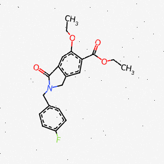 CCOC(=O)c1cc2c(cc1OCC)C(=O)N(Cc1ccc(F)cc1)C2